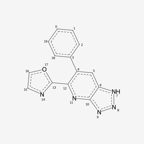 c1ccc(-c2cc3[nH]nnc3nc2-c2ncco2)cc1